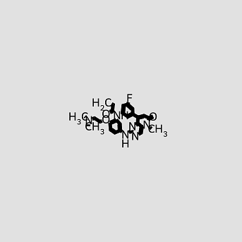 C=CC(=O)Nc1cc(Nc2ncc3c(n2)c(-c2cccc(F)c2)cc(=O)n3C)ccc1OCCN(C)C